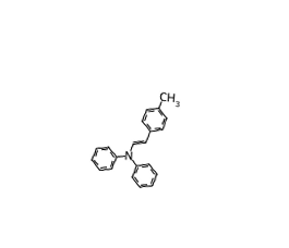 Cc1ccc(C=CN(c2ccccc2)c2ccccc2)cc1